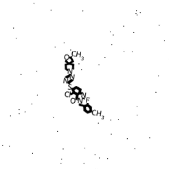 Cc1ccc(Cn2cnc3ccc(Sc4cnc(N5CCC6(CC5)CO[C@@H](C)C6)cn4)c(Cl)c3c2=O)c(F)c1